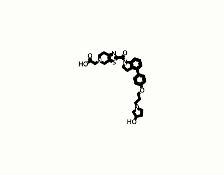 O=C(O)CN1CCc2nc(C(=O)N3CCc4c(-c5ccc(OCCCN6CCC(O)C6)cc5)cccc43)sc2C1